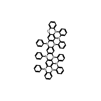 c1ccc(N2c3cc4c(cc3B3c5ccccc5N5c6ccccc6B6c7ccccc7Oc7cc2c3c5c76)B2c3ccccc3N3c5ccccc5B5c6ccccc6N(c6ccccc6)c6cc(c2c3c65)N4c2ccccc2)cc1